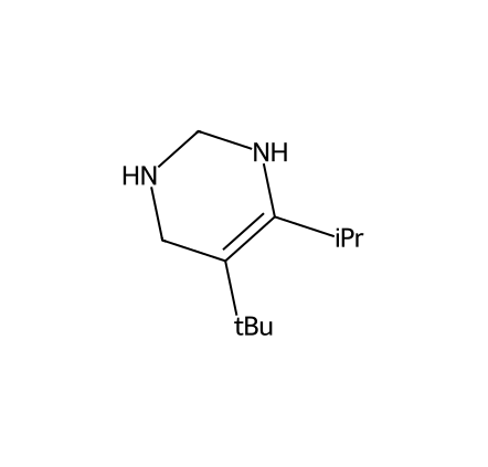 CC(C)C1=C(C(C)(C)C)CNCN1